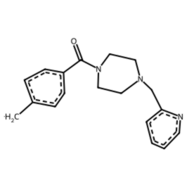 [CH2]c1ccc(C(=O)N2CCN(Cc3ccccn3)CC2)cc1